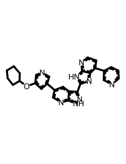 c1cncc(-c2ccnc3[nH]c(-c4n[nH]c5ncc(-c6cncc(OC7CCCCC7)c6)cc45)nc23)c1